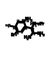 CC(C)NC(=C(N)N)c1cc(Br)c(F)cc1N